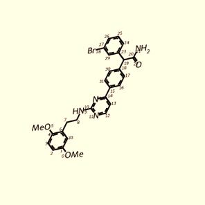 COc1ccc(OC)c(CCNc2nccc(-c3ccc(C(C(N)=O)c4cccc(Br)c4)cc3)n2)c1